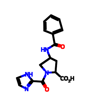 O=C(NC1CC(C(=O)O)N(C(=O)c2ncc[nH]2)C1)c1ccccc1